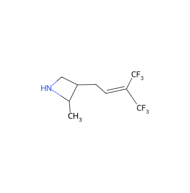 CC1NCC1CC=C(C(F)(F)F)C(F)(F)F